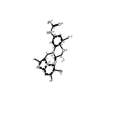 Cc1nc2cc(F)c(Br)cn2c1CN1C(=O)[C@@H](C)Oc2c(F)cc(NC(=O)C(C)C)cc21